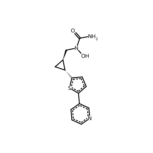 NC(=O)N(O)C[C@@H]1C[C@H]1c1ccc(-c2cccnc2)s1